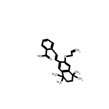 C=CCOc1cc2c(cc1/C=C/c1ccccc1C(=O)O)C(C)(C)CCC2(C)C